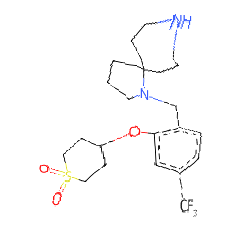 O=S1(=O)CCC(Oc2cc(C(F)(F)F)ccc2CN2CCCC23CCNCC3)CC1